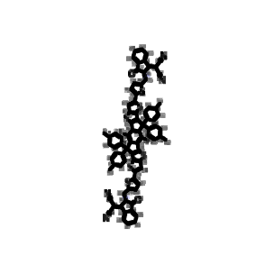 Cc1ccc(C2(c3ccc(C)cc3)c3c(F)c4c(c(F)c3-c3sc5cc(-c6ccc(/C=C7\C(=O)c8ccccc8C7=C(C#N)C#N)s6)sc5c32)C(c2ccc(C)cc2)(c2ccc(C)cc2)c2c-4sc3cc(-c4ccc(/C=C5\C(=O)c6ccccc6C5=C(C#N)C#N)s4)sc23)cc1